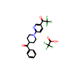 O=C(O)C(F)(F)F.O=C(c1ccccc1)C1CCN(c2ccc(C(=O)C(F)(F)F)cn2)CC1